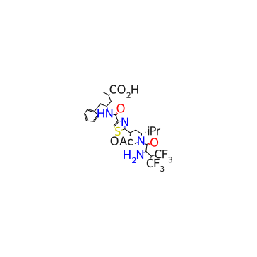 CC(=O)O[C@H](C[C@H](C(C)C)N(C)C(=O)[C@@H](N)C(C(F)(F)F)C(F)(F)F)c1nc(C(=O)N[C@@H](Cc2ccccc2)C[C@H](C)C(=O)O)cs1